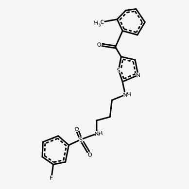 Cc1ccccc1C(=O)c1cnc(NCCCNS(=O)(=O)c2cccc(F)c2)s1